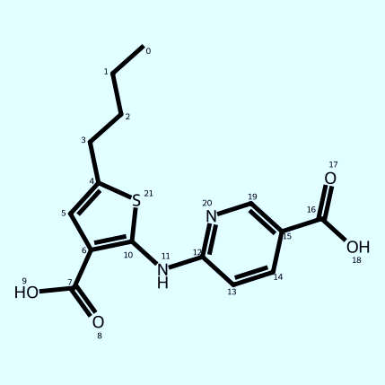 CCCCc1cc(C(=O)O)c(Nc2ccc(C(=O)O)cn2)s1